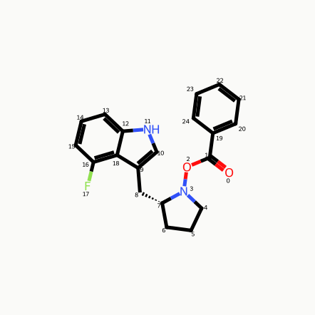 O=C(ON1CCC[C@@H]1Cc1c[nH]c2cccc(F)c12)c1ccccc1